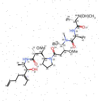 C=CCC/C(=C\C)[C@H](O)[C@@H](C)NC(=O)[C@H](C)C(OC)[C@@H]1CCCN1C(=O)CC(OC)[C@H]([C@@H](C)CC)N(C)C(=O)[C@@H](NC(=O)[C@H](C(C)C)N(C)O)C(C)C